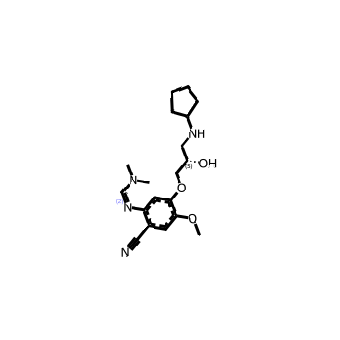 COc1cc(C#N)c(/N=C\N(C)C)cc1OC[C@@H](O)CNC1CCCC1